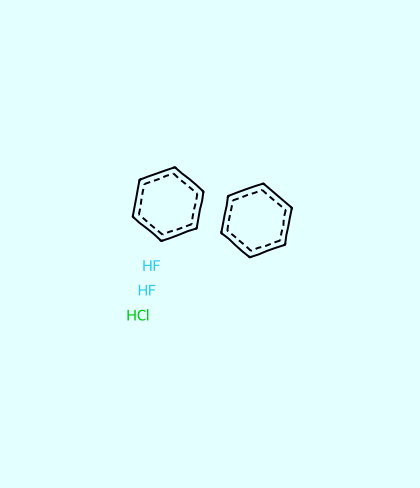 Cl.F.F.c1ccccc1.c1ccccc1